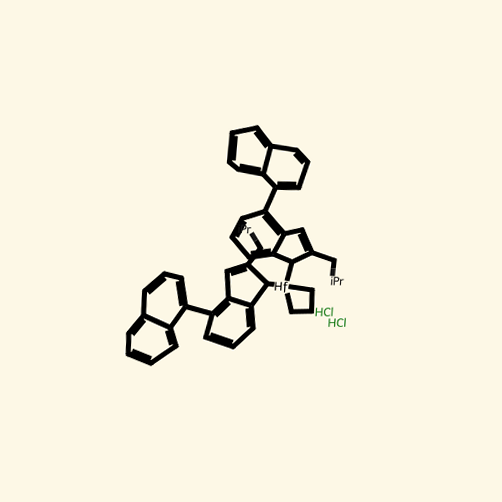 CC(C)CC1=Cc2c(-c3cccc4ccccc34)cccc2[CH]1[Hf]1([CH]2C(CC(C)C)=Cc3c(-c4cccc5ccccc45)cccc32)[CH2]C[CH2]1.Cl.Cl